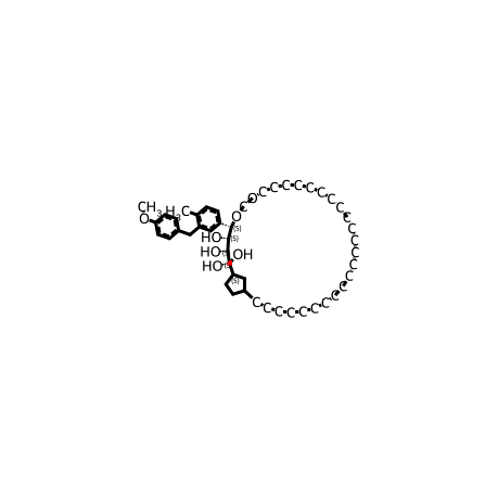 COc1ccc(Cc2cc([C@@H]3OCOCCCCCCCCCCCCCCCCCCCCCCCC4CC[C@@](CO)(C4)[C@H](O)[C@H](O)[C@@H]3O)ccc2C)cc1